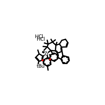 Cl.Cl.[CH2]=[Zr]([C]1=CC(C(C)(C)C)=CC1C)([c]1ccccc1)([c]1ccc(C)cc1)[C]1(C)C2=C3Cc4ccccc4C3=C3C=CCCC3C2(C)C(C)(C)C(C)(C)C1(C)C